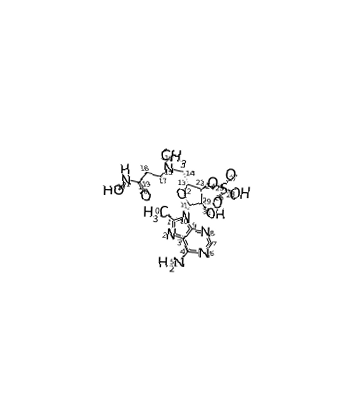 Cc1nc2c(N)ncnc2n1[C@@H]1O[C@H](CN(C)CCC(=O)NO)[C@@H](OS(=O)(=O)O)[C@H]1O